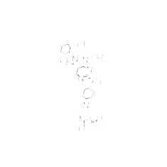 CN1CN(c2c(Cl)cccc2Cl)C(=O)c2cnc(Nc3ccc(N4CCNC(C)(C)C4)cc3)nc21